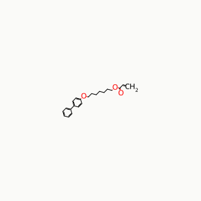 C=CC(=O)OCCCCCCCOc1ccc(-c2ccccc2)cc1